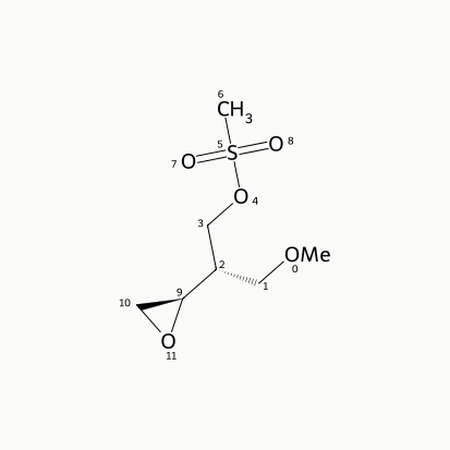 COC[C@@H](COS(C)(=O)=O)[C@@H]1CO1